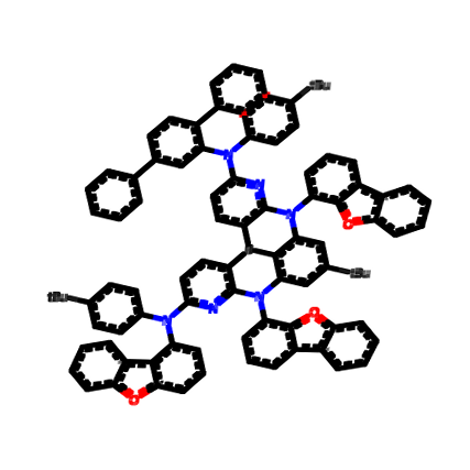 CC(C)(C)c1ccc(N(c2ccc3c(n2)N(c2cccc4c2oc2ccccc24)c2cc(C(C)(C)C)cc4c2B3c2ccc(N(c3ccc(C(C)(C)C)cc3)c3cccc5oc6ccccc6c35)nc2N4c2cccc3c2oc2ccccc23)c2cc(-c3ccccc3)ccc2-c2ccccc2)cc1